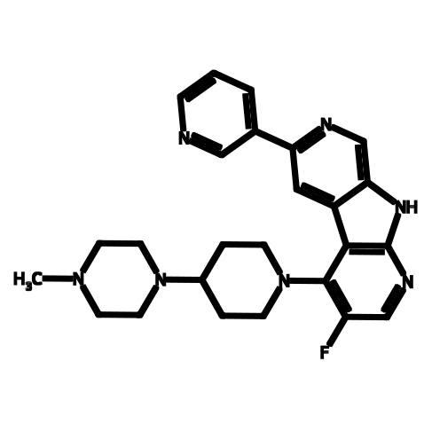 CN1CCN(C2CCN(c3c(F)cnc4[nH]c5cnc(-c6cccnc6)cc5c34)CC2)CC1